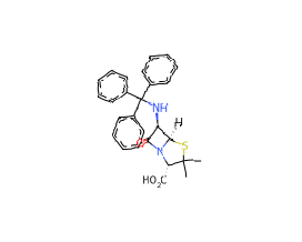 CC1(C)S[C@@H]2[C@H](NC(c3ccccc3)(c3ccccc3)c3ccccc3)C(=O)N2[C@H]1C(=O)O